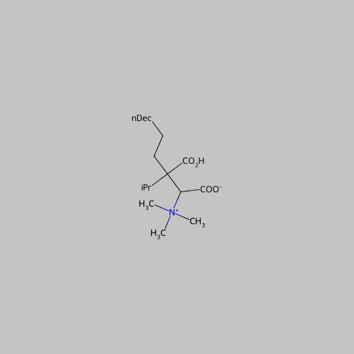 CCCCCCCCCCCCC(C(=O)O)(C(C)C)C(C(=O)[O-])[N+](C)(C)C